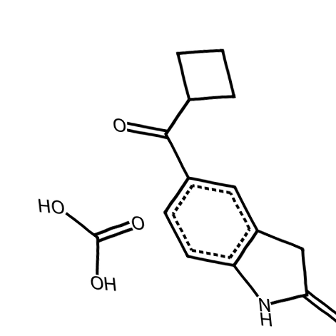 O=C(O)O.O=C1Cc2cc(C(=O)C3CCC3)ccc2N1